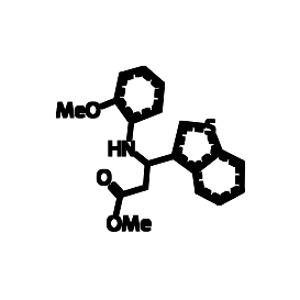 COC(=O)CC(Nc1ccccc1OC)c1csc2ccccc12